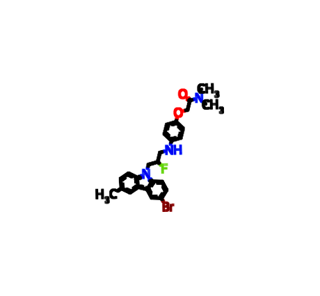 Cc1ccc2c(c1)c1cc(Br)ccc1n2CC(F)CNc1ccc(OCC(=O)N(C)C)cc1